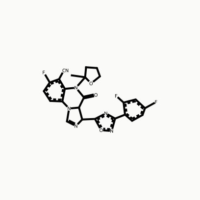 CC1(N2C(=O)C3C(c4nc(-c5ccc(F)cc5F)no4)N=CN3c3ccc(F)c(C#N)c32)CCCO1